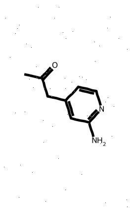 CC(=O)Cc1ccnc(N)c1